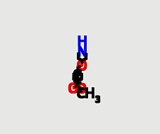 COC(=O)C12CCC(COC3CCNCC3)(CC1)CC2